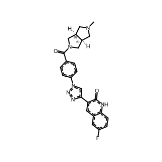 CN1C[C@@H]2CN(C(=O)c3ccc(-n4cc(-c5cc6cc(F)ccc6[nH]c5=O)nn4)cc3)C[C@@H]2C1